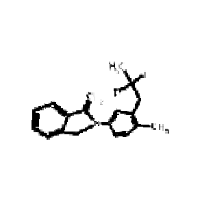 C=C1c2ccccc2CN1c1ccc(C)c(CC(C)(F)I)c1